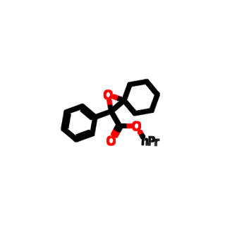 CCCOC(=O)C1(c2ccccc2)OC12CCCCC2